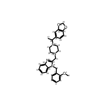 COc1ccccc1Cn1c(CN2CCN(C(C)c3ccc4c(c3)OCO4)CC2)nc2ccccc21